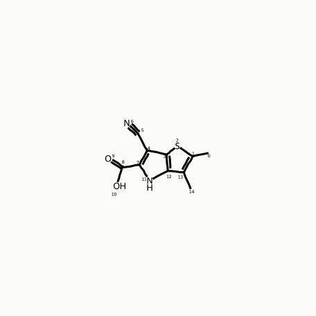 Cc1sc2c(C#N)c(C(=O)O)[nH]c2c1C